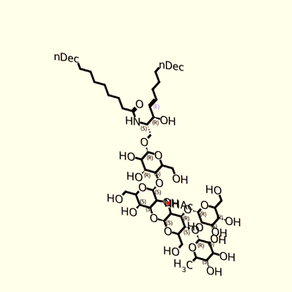 CCCCCCCCCCCCC/C=C/[C@@H](O)[C@H](CO[C@@H]1OC(CO)[C@@H](O[C@@H]2OC(CO)[C@H](O)[C@H](O[C@@H]3OC(CO)[C@@H](O[C@H]4OC(C)[C@@H](O)C(O)[C@@H]4O)[C@H](O[C@@H]4OC(CO)[C@H](O)[C@H](O)C4O)C3NC(C)=O)C2O)[C@H](O)C1O)NC(=O)CCCCCCCCCCCCCCCCC